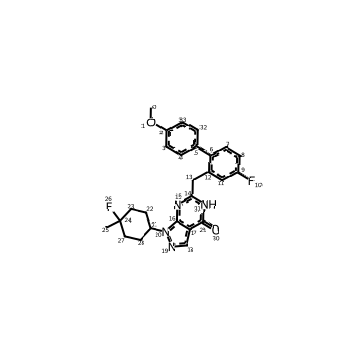 COc1ccc(-c2ccc(F)cc2Cc2nc3c(cnn3C3CCC(C)(F)CC3)c(=O)[nH]2)cc1